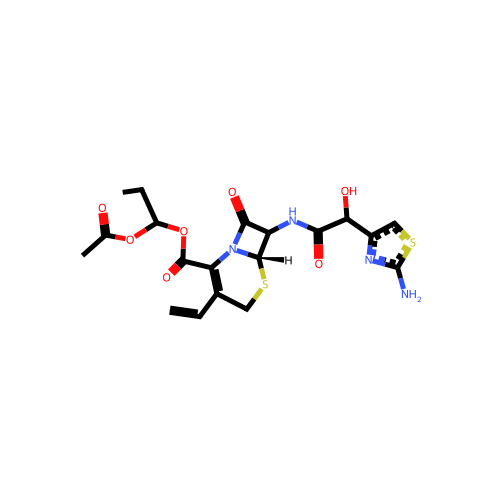 C=CC1=C(C(=O)OC(CC)OC(C)=O)N2C(=O)C(NC(=O)C(O)c3csc(N)n3)[C@@H]2SC1